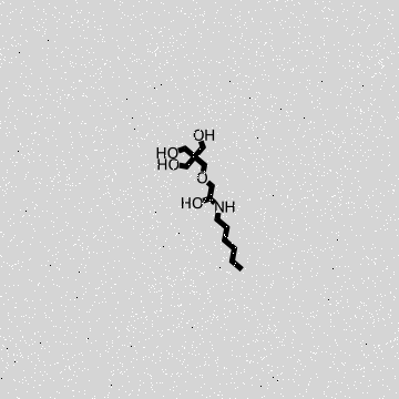 CCCCCCNC(O)COCC(CO)(CO)CO